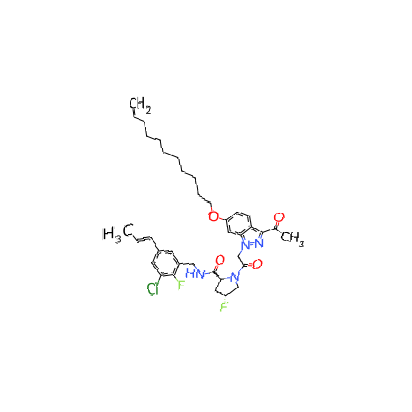 C=CCCCCCCCCCOc1ccc2c(C(C)=O)nn(CC(=O)N3C[C@H](F)C[C@H]3C(=O)NCc3cc(/C=C/C)cc(Cl)c3F)c2c1